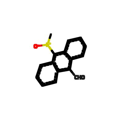 C[S+]([O-])c1c2ccccc2c(C=O)c2ccccc12